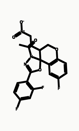 CC(=O)N1N=C(c2ccc(F)cc2F)OC12c1cc(F)ccc1OCC2CC[N+](=O)[O-]